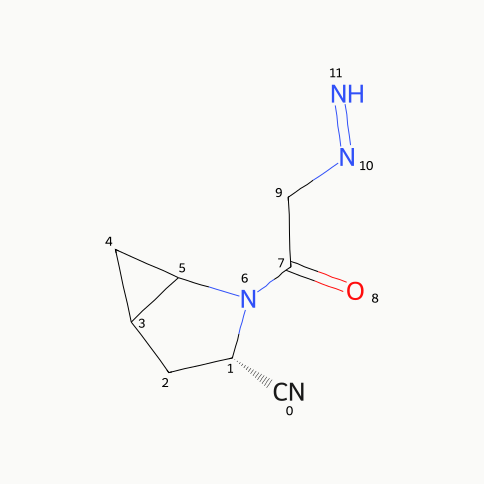 N#C[C@@H]1CC2CC2N1C(=O)CN=N